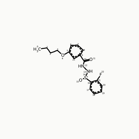 CCCCOc1cccc(C(=O)NN[S+]([O-])c2ccccc2F)c1